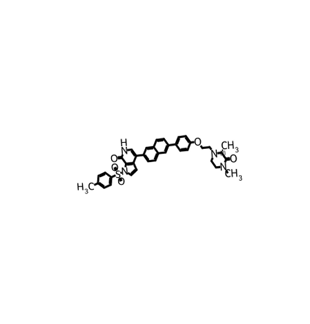 Cc1ccc(S(=O)(=O)n2ccc3c(-c4ccc5cc(-c6ccc(OCCN7CCN(C)C(=O)[C@H]7C)cc6)ccc5c4)c[nH]c(=O)c32)cc1